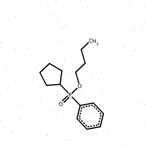 CCCCOP(=O)(c1ccccc1)C1CCCC1